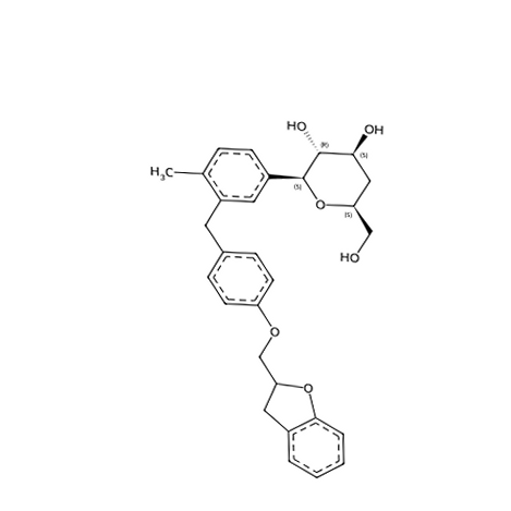 Cc1ccc([C@@H]2O[C@H](CO)C[C@H](O)[C@H]2O)cc1Cc1ccc(OCC2Cc3ccccc3O2)cc1